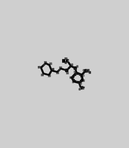 Cc1cc(C(C)C)ccc1OC(C)OCCC1CCCCC1